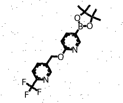 CC1(C)OB(c2ccc(OCc3ccc(C(F)(F)F)nc3)nc2)OC1(C)C